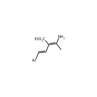 CCOC(=O)C(/C=C/C(C)=O)=C(/C)N